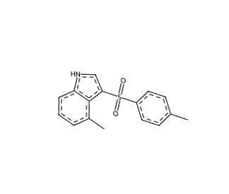 Cc1ccc(S(=O)(=O)c2c[nH]c3cccc(C)c23)cc1